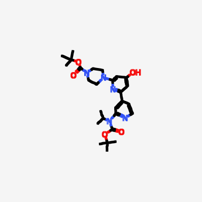 CC(C)N(C(=O)OC(C)(C)C)c1cc(-c2cc(O)cc(N3CCN(C(=O)OC(C)(C)C)CC3)n2)ccn1